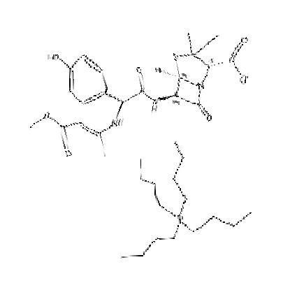 CCCC[N+](CCCC)(CCCC)CCCC.COC(=O)C=C(C)NC(C(=O)N[C@@H]1C(=O)N2[C@@H]1SC(C)(C)[C@@H]2C(=O)[O-])c1ccc(O)cc1